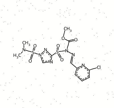 COC(=O)N(/N=C/c1cccc(Cl)n1)S(=O)(=O)c1ncn(S(=O)(=O)N(C)C)n1